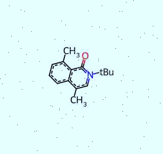 Cc1cn(C(C)(C)C)c(=O)c2c(C)cccc12